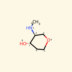 CN[C@H]1COCC[C@@H]1O